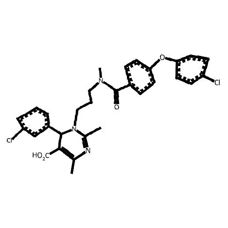 CC1=NC(C)=C(C(=O)O)C(c2cccc(Cl)c2)N1CCCN(C)C(=O)c1ccc(Oc2ccc(Cl)cc2)cc1